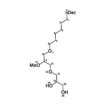 CCCCCCCCCCCCCCCCOCC(COCC(O)CO)OC